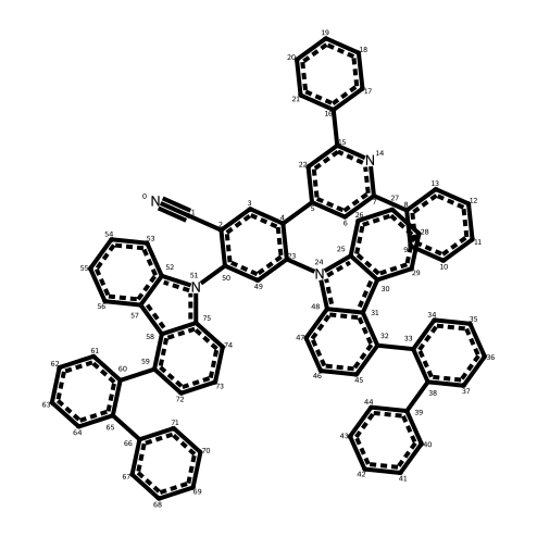 N#Cc1cc(-c2cc(-c3ccccc3)nc(-c3ccccc3)c2)c(-n2c3ccccc3c3c(-c4ccccc4-c4ccccc4)cccc32)cc1-n1c2ccccc2c2c(-c3ccccc3-c3ccccc3)cccc21